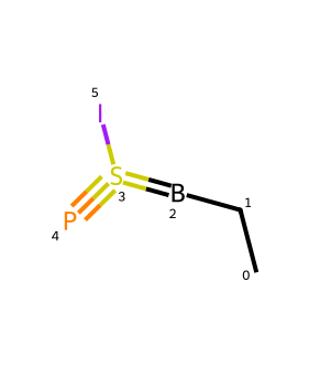 CCB=S(#P)I